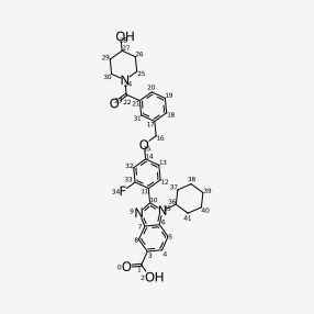 O=C(O)c1ccc2c(c1)nc(-c1ccc(OCc3cccc(C(=O)N4CCC(O)CC4)c3)cc1F)n2C1CCCCC1